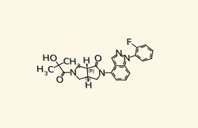 CC(C)(O)C(=O)N1C[C@H]2CN(c3cccc4c3cnn4-c3ccccc3F)C(=O)[C@H]2C1